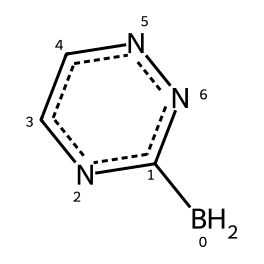 Bc1nccnn1